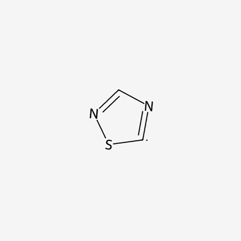 [c]1ncns1